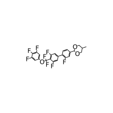 CC1COC(c2ccc(-c3cc(F)c(C(F)(F)Oc4cc(F)c(F)c(F)c4)c(F)c3)c(F)c2)OC1